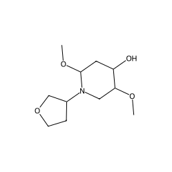 COC1CN(C2CCOC2)C(OC)CC1O